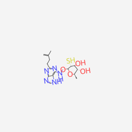 C=C(C)CCc1nc(NOC2O[C@H](C)[C@@H](O)[C@H](O)[C@H]2S)c2[nH]cnc2n1